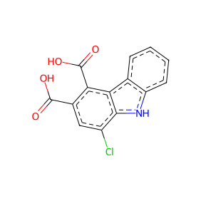 O=C(O)c1cc(Cl)c2[nH]c3ccccc3c2c1C(=O)O